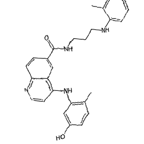 Cc1ccccc1NCCCNC(=O)c1ccc2nccc(Nc3cc(O)ccc3C)c2c1